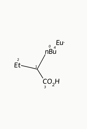 CCCCC(CC)C(=O)O.[Eu]